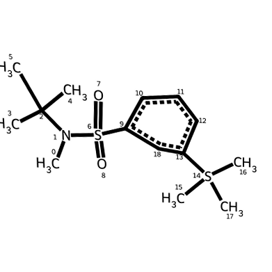 CN(C(C)(C)C)S(=O)(=O)c1cccc(S(C)(C)C)c1